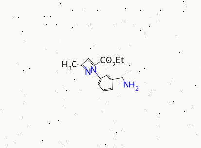 CCOC(=O)c1cc(C)nn1-c1cccc(CN)c1